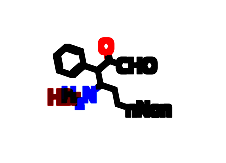 Br.CCCCCCCCCCCC(N)C(C(=O)C=O)c1ccccc1